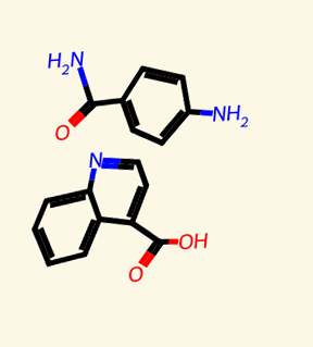 NC(=O)c1ccc(N)cc1.O=C(O)c1ccnc2ccccc12